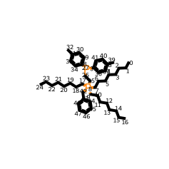 CCCCCCCCP(CCCCCCCC)(CCCCCCCC)(CCP(c1ccc(C)cc1)c1ccc(C)cc1)Cc1ccccc1